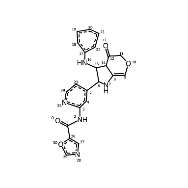 O=C(Nc1cc(C2NC3=COCC(=O)C3C2Nc2ccccc2)ccn1)c1cnco1